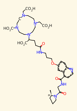 C[C@@H]1CCCN1C(=O)CNC(=O)c1ccnc2ccc(OCCCNC(=O)CCC(C(=O)O)N3CCN(CC(=O)O)CCN(CC(=O)O)CCN(C(=O)O)CC3)cc12